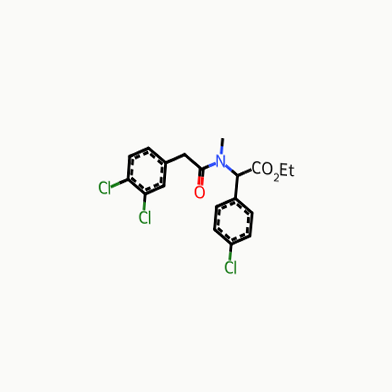 CCOC(=O)C(c1ccc(Cl)cc1)N(C)C(=O)Cc1ccc(Cl)c(Cl)c1